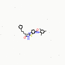 Cc1cc(C)c(NC(=O)c2ccc3nc(NC(=O)[AsH]CCCc4ccccc4)sc3c2)c(C)c1